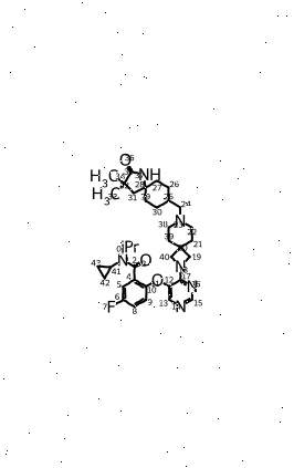 CC(C)N(C(=O)c1cc(F)ccc1Oc1cncnc1N1CC2(CCN(CC3CCC4(CC3)CC(C)(C)C(=O)N4)CC2)C1)C1CC1